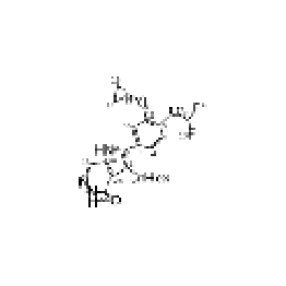 CCCCCCc1c(-c2ccc(OC(F)F)c(OC3CC3)c2)[nH]c2cn[nH]c(=O)c12